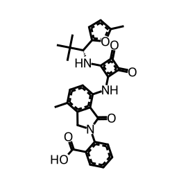 Cc1ccc([C@H](Nc2c(Nc3ccc(C)c4c3C(=O)N(c3ccccc3C(=O)O)C4)c(=O)c2=O)C(C)(C)C)o1